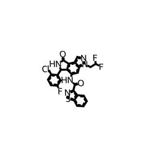 O=C(Nc1cc2c(cnn2CC(F)F)c2c1C(c1cc(F)ccc1Cl)NC2=O)c1nsc2ccccc12